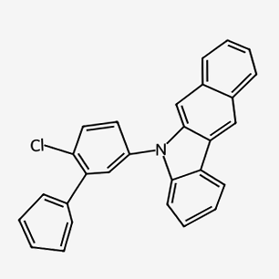 Clc1ccc(-n2c3ccccc3c3cc4ccccc4cc32)cc1-c1ccccc1